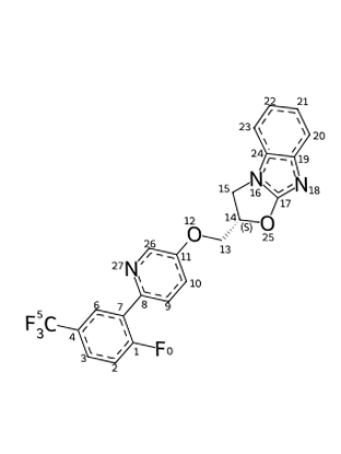 Fc1ccc(C(F)(F)F)cc1-c1ccc(OC[C@@H]2Cn3c(nc4ccccc43)O2)cn1